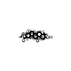 CN(O)C(=O)[C@@]1(C)CC[C@]2(C)CC[C@]3(C)[C@H](CC(=O)[C@@H]4[C@@]5(C)CC[C@H](O)C(C)(C)C5CC[C@]43C)[C@H]2C1